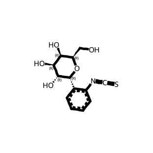 OC[C@H]1O[C@H](c2ccccc2N=C=S)[C@H](O)[C@@H](O)[C@H]1O